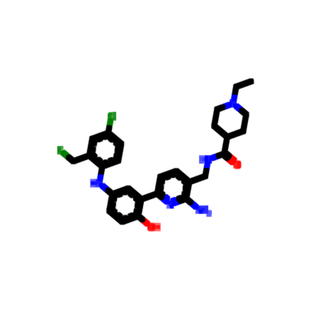 CCN1CCC(C(=O)NCc2ccc(-c3cc(Nc4ccc(Cl)cc4CF)ccc3O)nc2N)CC1